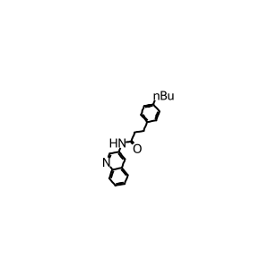 CCCCc1ccc(CCC(=O)Nc2cnc3ccccc3c2)cc1